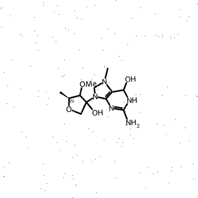 COC1[C@H](C)OCC1(O)N1CN(C)C2=C1N=C(N)NC2O